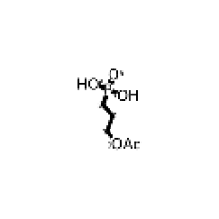 CC(=O)OCCCP(=O)(O)O